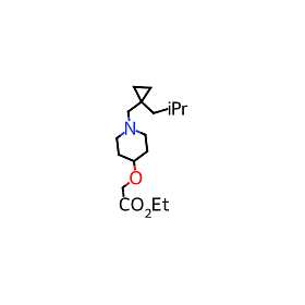 CCOC(=O)COC1CCN(CC2(CC(C)C)CC2)CC1